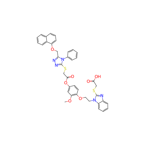 COc1cc(OC(=O)CSc2nnc(COc3cccc4ccccc34)n2-c2ccccc2)ccc1OCCn1c(SCC(=O)O)nc2ccccc21